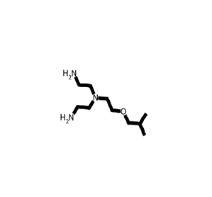 CC(C)COCCN(CCN)CCN